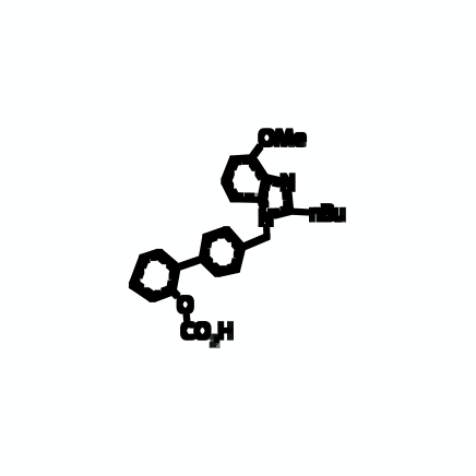 CCCCc1nc2c(OC)cccc2n1Cc1ccc(-c2ccccc2OC(=O)O)cc1